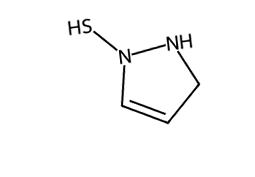 SN1C=CCN1